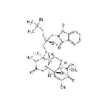 CCC(C)(C)CC[C@@](C)(CC[C@]1(C)C(C)C(=O)C[C@@H]2[C@@]3(C)C=C(C#N)C(=O)C(C)(C)[C@@H]3CC[C@]21C)CN1C(=O)c2ccccc2C1=O